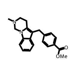 COC(=O)c1ccc(Cc2c3n(c4ccccc24)CN(C)CC3)cc1